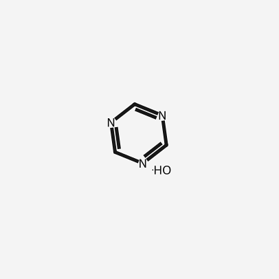 [OH].c1ncncn1